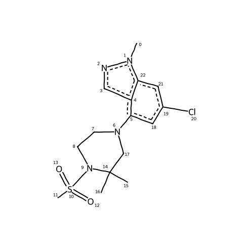 Cn1ncc2c(N3CCN(S(C)(=O)=O)C(C)(C)C3)cc(Cl)cc21